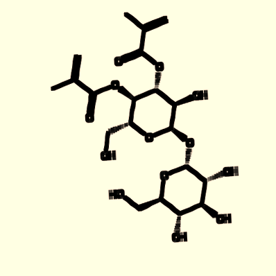 C=C(C)C(=O)O[C@@H]1[C@@H](O)[C@@H](O[C@H]2O[C@H](CO)[C@@H](O)[C@H](O)[C@H]2O)O[C@H](CO)[C@H]1OC(=O)C(=C)C